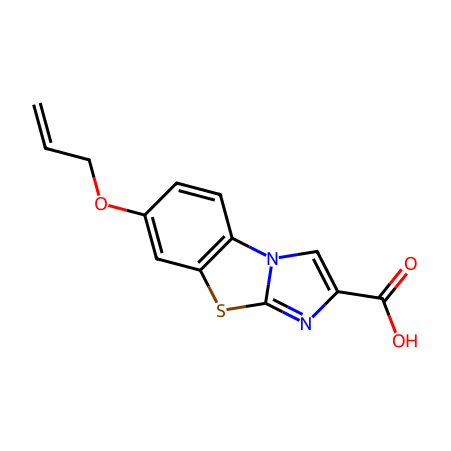 C=CCOc1ccc2c(c1)sc1nc(C(=O)O)cn12